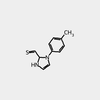 Cc1ccc(N2C=CNC2C=S)cc1